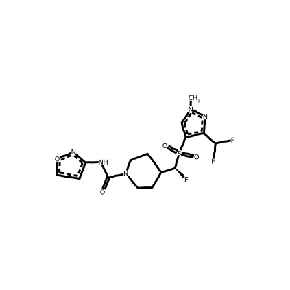 Cn1cc(S(=O)(=O)[C@@H](F)C2CCN(C(=O)Nc3ccon3)CC2)c(C(F)F)n1